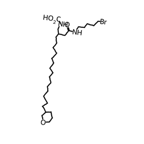 O=C(O)NCC(CCCCCCCCCCCCCCCC1CCCOC1)CC(=O)NCCCCCBr